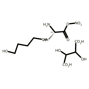 CCC[C@H](N)C(=O)O[N+](=O)[O-].O=C(O)C(O)C(O)C(=O)O.OCCCCO